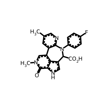 Cc1cnc2c(c1)-c1cn(C)c(=O)c3[nH]cc(c13)C(C(=O)O)N2c1ccc(F)cc1